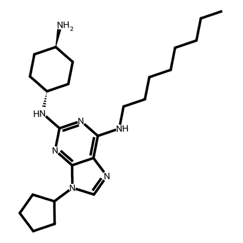 CCCCCCCCNc1nc(N[C@H]2CC[C@H](N)CC2)nc2c1ncn2C1CCCC1